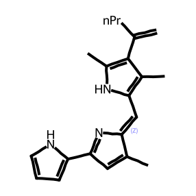 C=C(CCC)c1c(C)[nH]c(/C=C2\N=C(c3ccc[nH]3)C=C2C)c1C